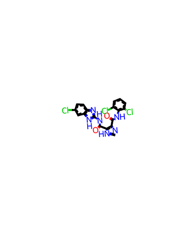 O=C(Nc1c(Cl)cccc1Cl)c1nc[nH]c1C(=O)Nc1nc2ccc(Cl)cc2[nH]1